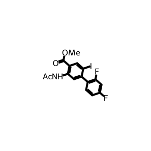 COC(=O)c1cc(I)c(-c2ccc(F)cc2F)cc1NC(C)=O